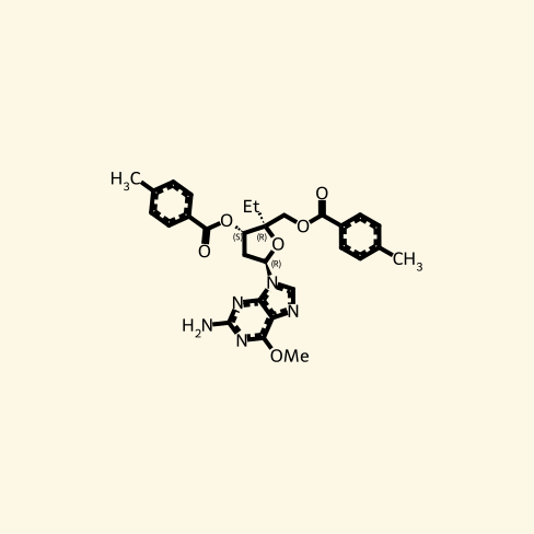 CC[C@]1(COC(=O)c2ccc(C)cc2)O[C@@H](n2cnc3c(OC)nc(N)nc32)C[C@@H]1OC(=O)c1ccc(C)cc1